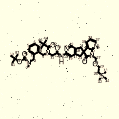 CN(Cc1ccccc1CN(CC(=O)Nc1cc2c(cn1)CC1(C2)C(=O)N(COCCS(C)(C)C)c2ncccc21)C(=O)C(C)(C)C)C(=O)OC(C)(C)C